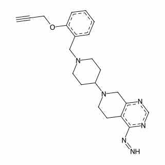 C#CCOc1ccccc1CN1CCC(N2CCc3c(ncnc3N=N)C2)CC1